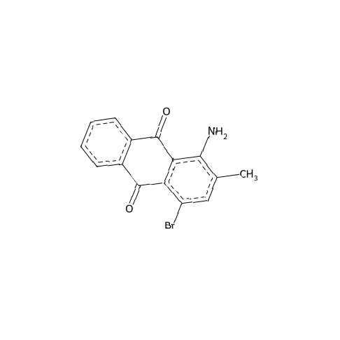 Cc1cc(Br)c2c(c1N)C(=O)c1ccccc1C2=O